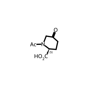 CC(=O)N1CC(=O)CC[C@H]1C(=O)O